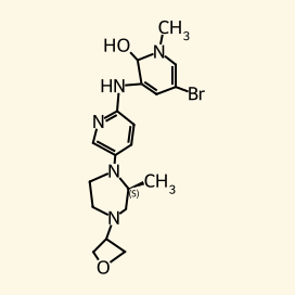 C[C@H]1CN(C2COC2)CCN1c1ccc(NC2=CC(Br)=CN(C)C2O)nc1